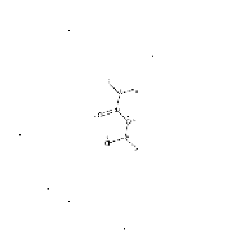 C[C](C)C(=O)OC(C)Cl